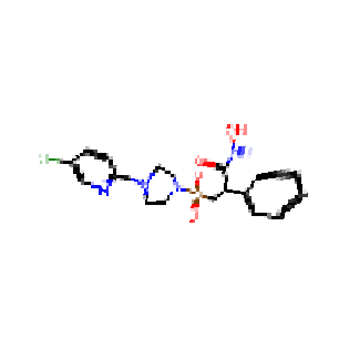 O=C(NO)C(CS(=O)(=O)N1CCN(c2ccc(Cl)cn2)CC1)c1ccccc1